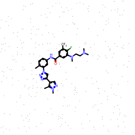 Cc1ccc(NC(=O)c2cc(N(C)CCN(C)C)c(F)c(C(F)(F)F)c2)cc1-n1cc(-c2cnn(C)c2C)nn1